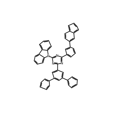 c1ccc(-c2cc(-c3ccccc3)cc(-c3nc(-c4cccc(-c5ccc6ccccc6c5)c4)nc(-n4c5ccccc5c5ccccc54)n3)c2)cc1